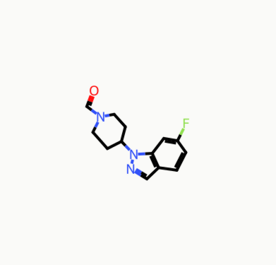 O=CN1CCC(n2ncc3ccc(F)cc32)CC1